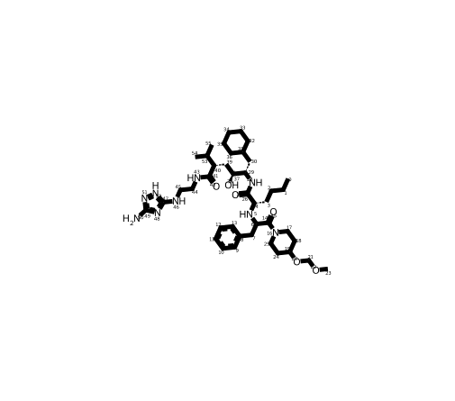 CCCC[C@H](NC(Cc1ccccc1)C(=O)N1CCC(OCOC)CC1)C(=O)N[C@@H](CC1CCCCC1)[C@@H](O)C[C@H](C(=O)NCCNc1nc(N)n[nH]1)C(C)C